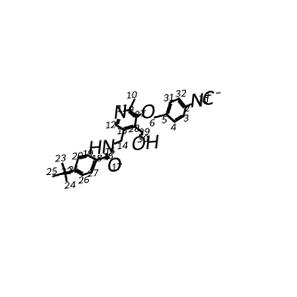 [C-]#[N+]c1ccc(COc2c(C)ncc(CNC(=O)c3ccc(C(C)(C)C)cc3)c2CO)cc1